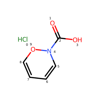 Cl.O=C(O)N1C=CC=CO1